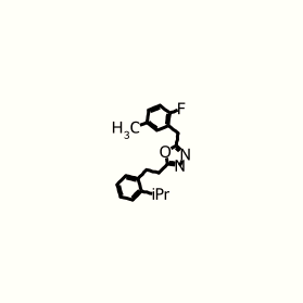 Cc1ccc(F)c(Cc2nnc(CCc3ccccc3C(C)C)o2)c1